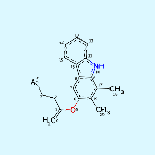 C=C(CCC(C)=O)Oc1cc2c([nH]c3ccccc32)c(C)c1C